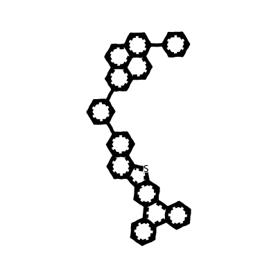 c1ccc(-c2ccc3ccc4cc(-c5cccc(-c6ccc7c(ccc8c9cc%10c%11ccccc%11c%11ccccc%11c%10cc9sc78)c6)c5)cc5ccc2c3c45)cc1